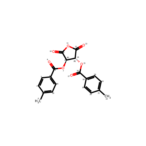 Cc1ccc(C(=O)O[C@H]2C(=O)OC(=O)[C@@H]2OC(=O)c2ccc(C)cc2)cc1